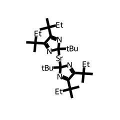 CCC(C)(C)C1=N[C]([Sr][C]2(C(C)(C)C)N=C(C(C)(C)CC)C(C(C)(C)CC)=N2)(C(C)(C)C)N=C1C(C)(C)CC